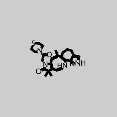 Cc1cc2c(cc[nH]c3c1CCCc1c[nH]nc1-3)C(C)(C)C(=O)N2CC(=O)N1CCSCC1